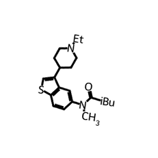 CCC(C)C(=O)N(C)c1ccc2scc(C3CCN(CC)CC3)c2c1